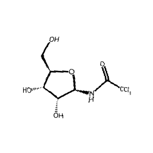 O=C(N[C@@H]1O[C@H](CO)[C@@H](O)[C@H]1O)C(Cl)(Cl)Cl